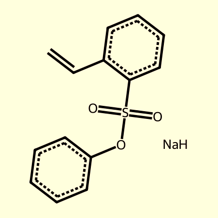 C=Cc1ccccc1S(=O)(=O)Oc1ccccc1.[NaH]